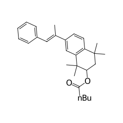 CCCCC(=O)OC1CC(C)(C)c2ccc(C(C)=Cc3ccccc3)cc2C1(C)C